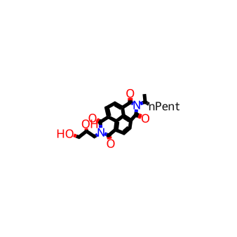 CCCCCC(C)N1C(=O)c2ccc3c4c(ccc(c24)C1=O)C(=O)N(CC(O)CO)C3=O